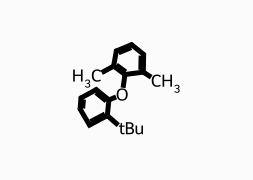 Cc1cccc(C)c1Oc1ccccc1C(C)(C)C